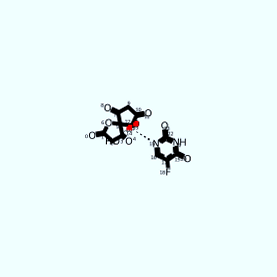 O=C1CC(=O)C2(O1)C(=O)CC(=O)[C@@]21O[C@@H](n2cc(F)c(=O)[nH]c2=O)C[C@@H]1O